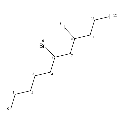 CCCCCC(Br)CC(I)CCI